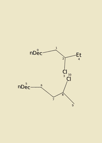 CCCCCCCCCCCC(Cl)CC.CCCCCCCCCCCCC(C)Cl